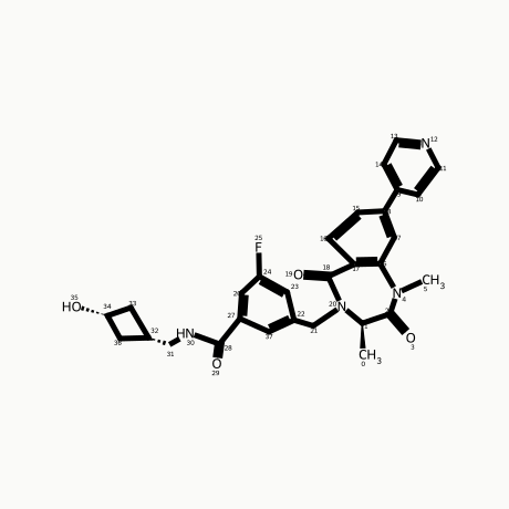 C[C@@H]1C(=O)N(C)c2cc(-c3ccncc3)ccc2C(=O)N1Cc1cc(F)cc(C(=O)NC[C@H]2C[C@@H](O)C2)c1